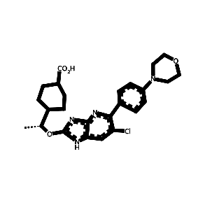 C[C@@H](Oc1nc2nc(-c3ccc(N4CCOCC4)cc3)c(Cl)cc2[nH]1)C1CCC(C(=O)O)CC1